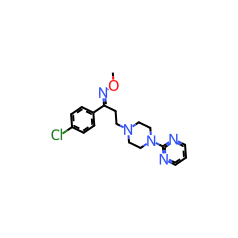 CO/N=C(\CCN1CCN(c2ncccn2)CC1)c1ccc(Cl)cc1